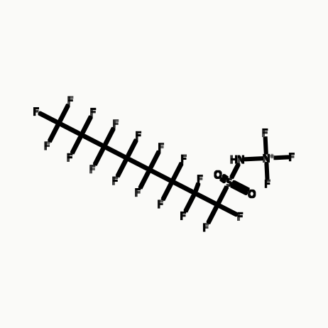 O=S(=O)(N[N+](F)(F)F)C(F)(F)C(F)(F)C(F)(F)C(F)(F)C(F)(F)C(F)(F)C(F)(F)C(F)(F)F